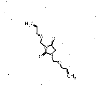 C=CCOCN1CC(=O)N(COCC=C)C1=O